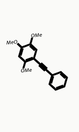 COc1cc(OC)c(OC)cc1C#Cc1ccccc1